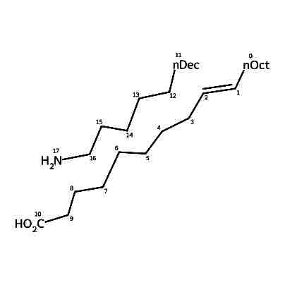 CCCCCCCCC=CCCCCCCCC(=O)O.CCCCCCCCCCCCCCCN